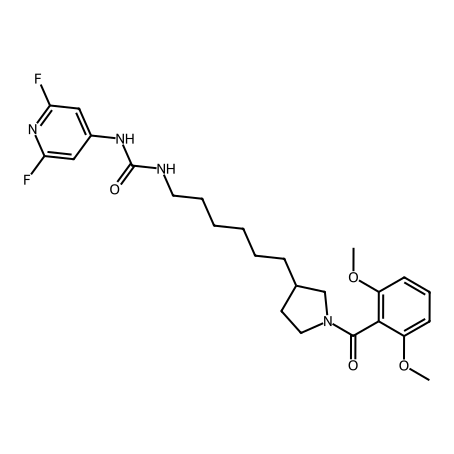 COc1cccc(OC)c1C(=O)N1CCC(CCCCCCNC(=O)Nc2cc(F)nc(F)c2)C1